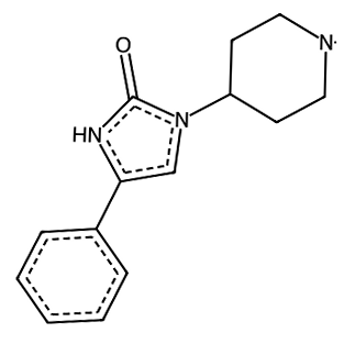 O=c1[nH]c(-c2ccccc2)cn1C1CC[N]CC1